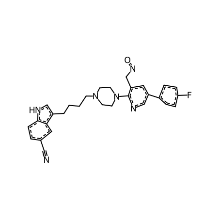 N#Cc1ccc2[nH]cc(CCCCN3CCN(c4ncc(-c5ccc(F)cc5)cc4CN=O)CC3)c2c1